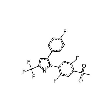 CS(=O)(=O)c1cc(F)c(-n2nc(C(F)(F)F)cc2-c2ccc(F)cc2)cc1F